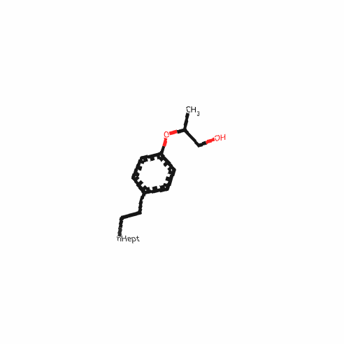 CCCCCCCCCc1ccc(OC(C)CO)cc1